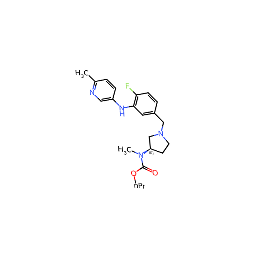 CCCOC(=O)N(C)[C@@H]1CCN(Cc2ccc(F)c(Nc3ccc(C)nc3)c2)C1